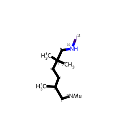 CNCC(C)CCC(C)(C)CNI